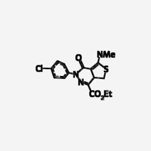 CCOC(=O)C1=NN(c2ccc(Cl)cc2)C(=O)C2=C(NC)SCC12